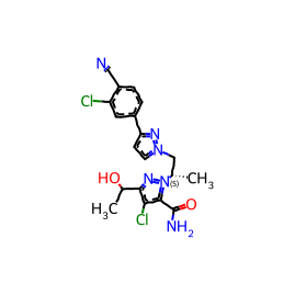 CC(O)c1nn([C@@H](C)Cn2ccc(-c3ccc(C#N)c(Cl)c3)n2)c(C(N)=O)c1Cl